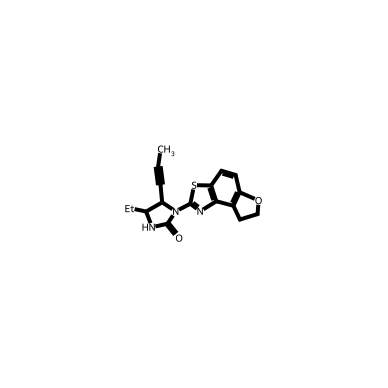 CC#CC1C(CC)NC(=O)N1c1nc2c3c(ccc2s1)OCC3